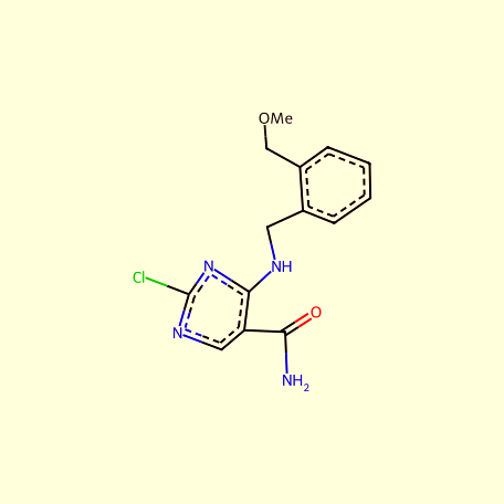 COCc1ccccc1CNc1nc(Cl)ncc1C(N)=O